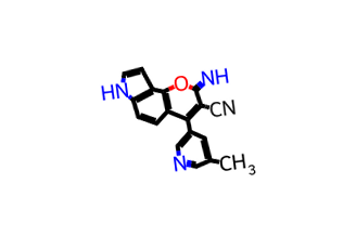 Cc1cncc(-c2c(C#N)c(=N)oc3c2ccc2[nH]ccc23)c1